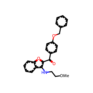 COCCNc1c(C(=O)c2ccc(OCc3ccccc3)cc2)oc2ccccc12